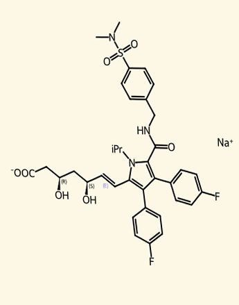 CC(C)n1c(/C=C/[C@@H](O)C[C@@H](O)CC(=O)[O-])c(-c2ccc(F)cc2)c(-c2ccc(F)cc2)c1C(=O)NCc1ccc(S(=O)(=O)N(C)C)cc1.[Na+]